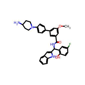 COc1cc(C(=O)NC(c2cc3ccccc3[nH]2)c2cc(F)ccc2O)cc(-c2ccc(N3CCC(N)CC3)cc2)c1